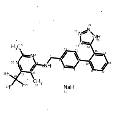 Cc1nc(NCc2ccc(-c3ccccc3-c3nnn[nH]3)cc2)c(C)c(C(F)(F)F)n1.[NaH]